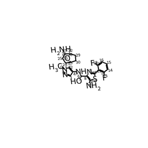 Cn1ncc(NC(O)c2nc(-c3c(F)cccc3F)sc2N)c1[C@@]12CC[C@H](N)[C@@H](CC1)O2